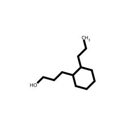 CCCC1CCCCC1CCCO